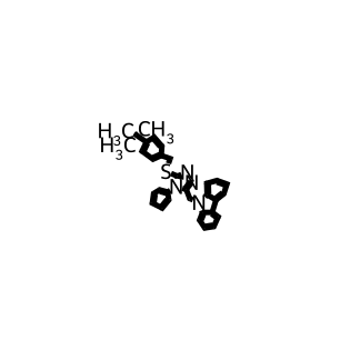 CC(C)(C)c1ccc(CSc2nnc(Cn3c4ccccc4c4ccccc43)n2-c2ccccc2)cc1